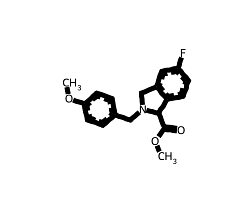 COC(=O)C1c2ccc(F)cc2CN1Cc1ccc(OC)cc1